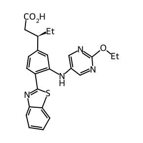 CCOc1ncc(Nc2cc([C@H](CC)CC(=O)O)ccc2-c2nc3ccccc3s2)cn1